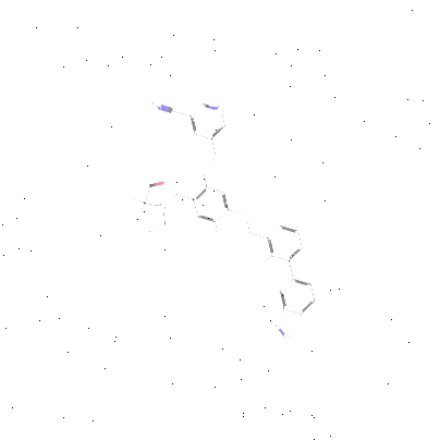 Cc1c(COc2cc(OCc3cncc(C#N)c3)c(CN3CCCC3(C)C(=O)O)cc2Cl)cccc1-c1ccc2scnc2c1